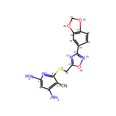 N#Cc1c(N)cc(N)nc1SCc1nc(-c2ccc3c(c2)OCO3)no1